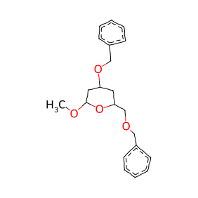 COC1CC(OCc2ccccc2)CC(COCc2ccccc2)O1